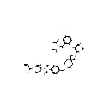 C=CC(=O)N1C[C@@H]2C[C@H]1CN2S(=O)(=O)c1ccc(CN2CCC3(CC2)CN(c2ncncc2Oc2ccc(F)cc2C(=O)N(C(C)C)C(C)C)C3)cc1